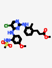 COC(=O)CCc1cccc(Nc2ncc(Cl)c(Nc3ccc(OC)cc3NS(C)(=O)=O)n2)c1C